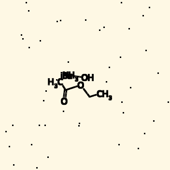 CCC(C)O.CCOC(C)=O.N